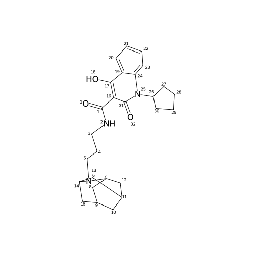 O=C(NCCCN1C2CC3CC(C2)CC1C3)c1c(O)c2ccccc2n(C2CCCC2)c1=O